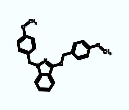 COc1ccc(COc2nn(Cc3ccc(OC)cc3)c3ccccc23)cc1